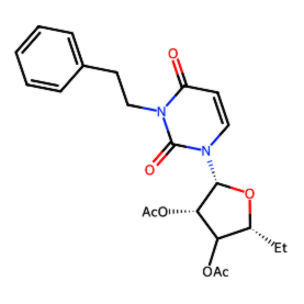 CC[C@H]1O[C@@H](n2ccc(=O)n(CCc3ccccc3)c2=O)[C@@H](OC(C)=O)C1OC(C)=O